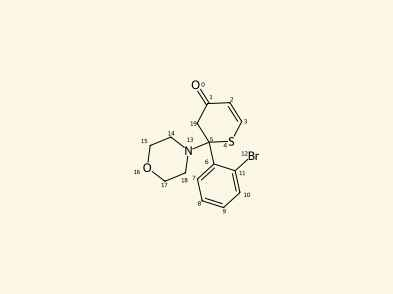 O=C1C=CSC(c2ccccc2Br)(N2CCOCC2)C1